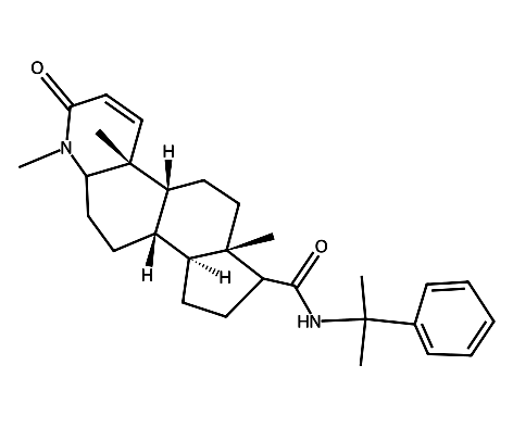 CN1C(=O)C=C[C@@]2(C)C1CC[C@@H]1[C@H]2CC[C@]2(C)C(C(=O)NC(C)(C)c3ccccc3)CC[C@@H]12